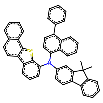 CC1(C)c2ccccc2-c2ccc(N(c3ccc(-c4ccccc4)c4ccccc34)c3cccc4c3sc3c5ccccc5ccc43)cc21